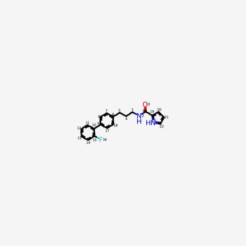 O=C(NCCCc1ccc(-c2ccccc2F)cc1)c1ccc[nH]1